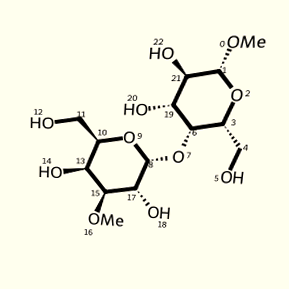 CO[C@@H]1O[C@H](CO)[C@H](O[C@H]2O[C@H](CO)[C@H](O)[C@H](OC)[C@H]2O)[C@H](O)[C@H]1O